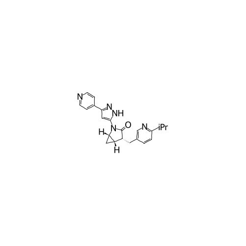 CC(C)c1ccc(C[C@H]2C(=O)N(c3cc(-c4ccncc4)n[nH]3)[C@H]3C[C@@H]23)cn1